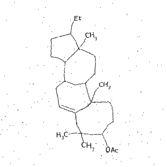 CCC1CCC2C3CC=C4C(C)(C)C(OC(C)=O)CCC4(C)C3CCC12C